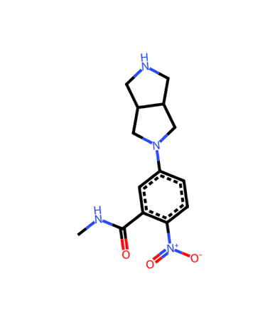 CNC(=O)c1cc(N2CC3CNCC3C2)ccc1[N+](=O)[O-]